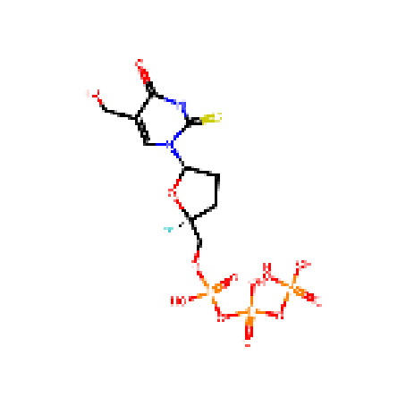 O=c1[nH]c(=S)n([C@H]2CC[C@@](F)(COP(=O)(O)OP(=O)(O)OP(=O)(O)O)O2)cc1CO